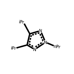 CCCn1nc(C(C)C)c(C(C)C)n1